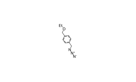 CCOCc1ccc(CN=[N+]=[N-])cc1